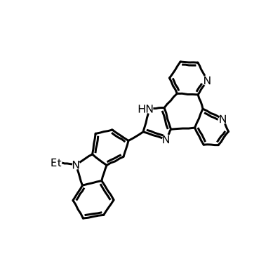 CCn1c2ccccc2c2cc(-c3nc4c5cccnc5c5ncccc5c4[nH]3)ccc21